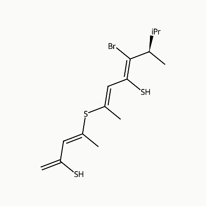 C=C(S)/C=C(\C)S/C(C)=C/C(S)=C(\Br)[C@H](C)C(C)C